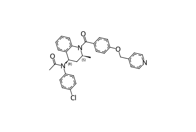 CC(=O)N(c1ccc(Cl)cc1)[C@@H]1C[C@H](C)N(C(=O)c2ccc(OCc3ccncc3)cc2)c2ccccc21